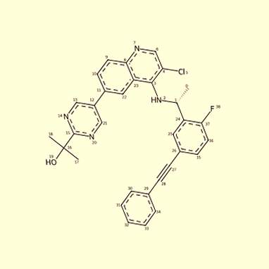 C[C@@H](Nc1c(Cl)cnc2ccc(-c3cnc(C(C)(C)O)nc3)cc12)c1cc(C#Cc2ccccc2)ccc1F